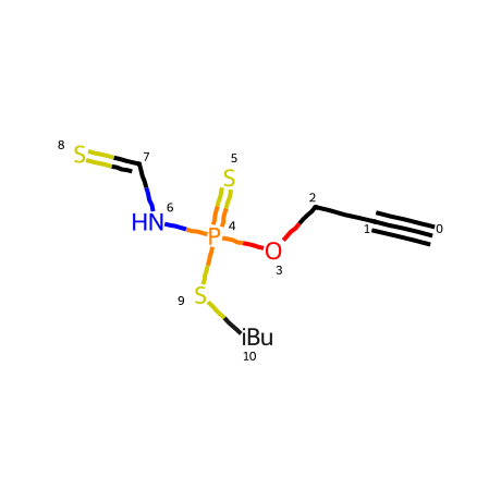 C#CCOP(=S)(NC=S)SC(C)CC